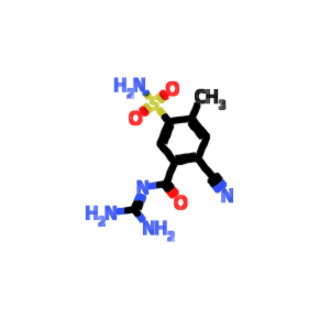 Cc1cc(C#N)c(C(=O)N=C(N)N)cc1S(N)(=O)=O